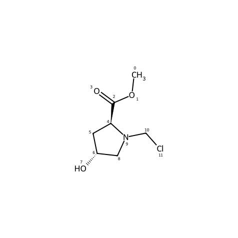 COC(=O)[C@@H]1C[C@@H](O)CN1CCl